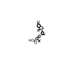 CC(C)(C)C1N(C(=O)O)CC12CN(c1cncc(N3CCc4cc(Cl)ccc4C3=O)c1)C2